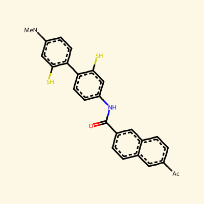 CNc1ccc(-c2ccc(NC(=O)c3ccc4cc(C(C)=O)ccc4c3)cc2S)c(S)c1